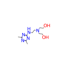 Cc1nc(C)nc(NCCN(CCO)CCO)n1